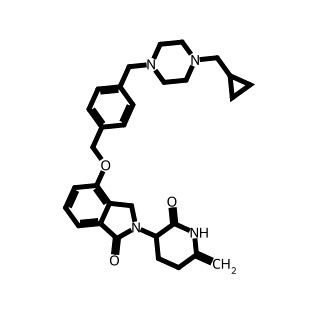 C=C1CCC(N2Cc3c(OCc4ccc(CN5CCN(CC6CC6)CC5)cc4)cccc3C2=O)C(=O)N1